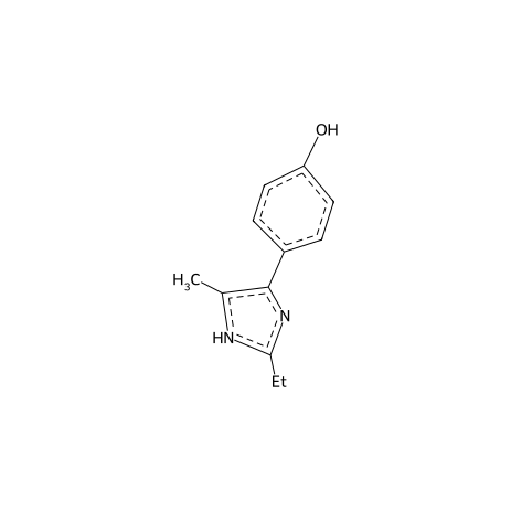 CCc1nc(-c2ccc(O)cc2)c(C)[nH]1